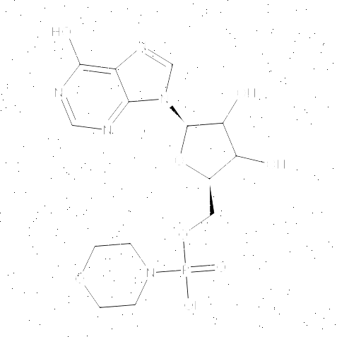 O=P(O)(OC[C@H]1O[C@@H](n2cnc3c(O)ncnc32)C(O)C1O)N1CCOCC1